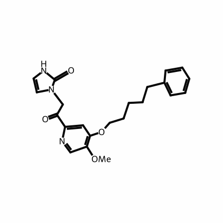 COc1cnc(C(=O)Cn2cc[nH]c2=O)cc1OCCCCCc1ccccc1